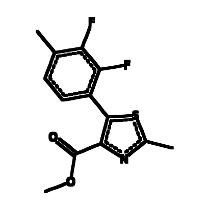 COC(=O)c1nc(C)sc1-c1ccc(C)c(F)c1F